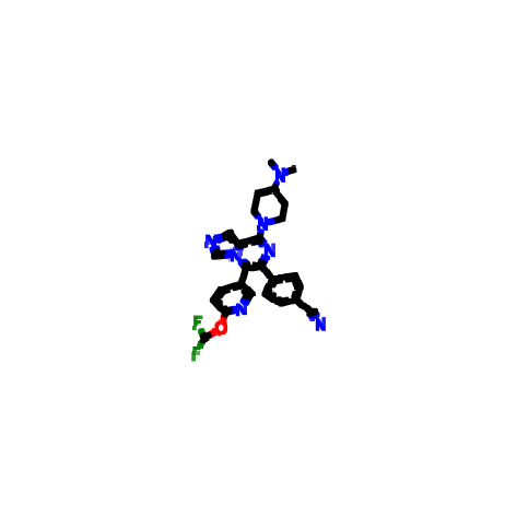 CN(C)C1CCN(c2nc(-c3ccc(C#N)cc3)c(-c3ccc(OC(F)F)nc3)n3cncc23)CC1